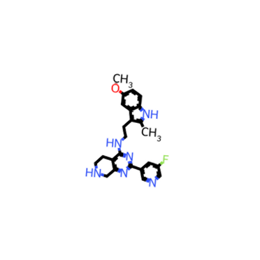 COc1ccc2[nH]c(C)c(CCNc3nc(-c4cncc(F)c4)nc4c3CCNC4)c2c1